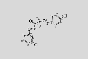 CC(C)(OCc1ccc(Cl)cc1)C(=O)COc1cccc(Cl)n1